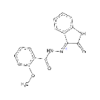 COc1ccccc1C(=O)N/N=C1/C(=O)Nc2ccccc21